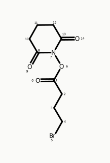 O=C(CCCBr)ON1C(=O)CCCC1=O